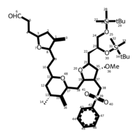 C=C1CC(CCC=O)OC1CCC1C[C@@H](C)C(=C)C(CC2OC(C[C@@H](CO[Si](C)(C)C(C)(C)C)O[Si](C)(C)C(C)(C)C)[C@H](OC)C2CS(=O)(=O)c2ccccc2)O1